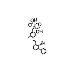 Cc1cc(CN2CCOC[C@H]2C(=O)O)c(O)cc1/C=C/c1cccc(-c2ccccc2)c1C#N